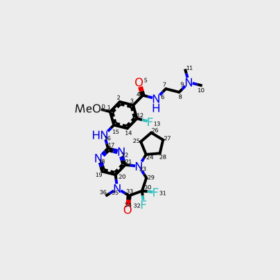 COc1cc(C(=O)NCCN(C)C)c(F)cc1Nc1ncc2c(n1)N(C1CCCC1)CC(F)(F)C(=O)N2C